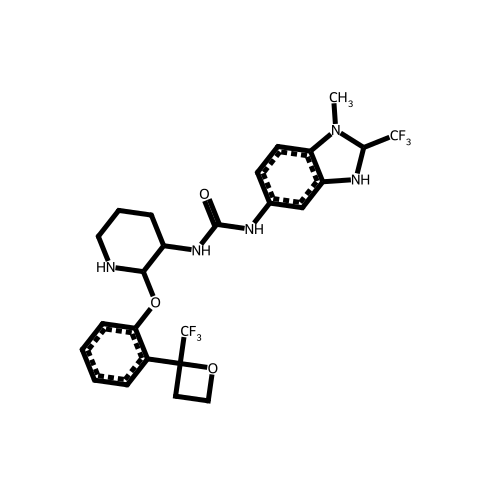 CN1c2ccc(NC(=O)NC3CCCNC3Oc3ccccc3C3(C(F)(F)F)CCO3)cc2NC1C(F)(F)F